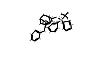 CC(C)(C)[Si](OC1C2CC3CC(N2)C1N(Cc1ccccc1)C3)(c1ccccc1)c1ccccc1